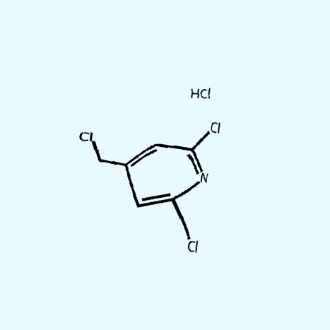 Cl.ClCc1cc(Cl)nc(Cl)c1